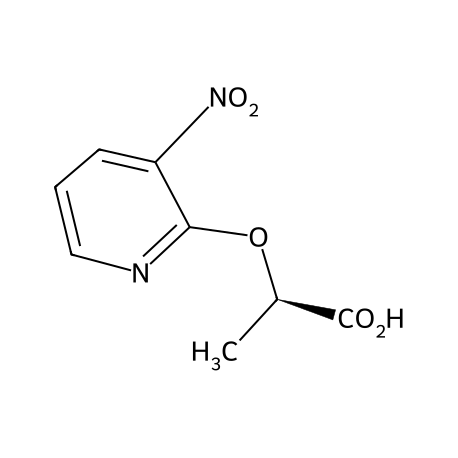 C[C@@H](Oc1ncccc1[N+](=O)[O-])C(=O)O